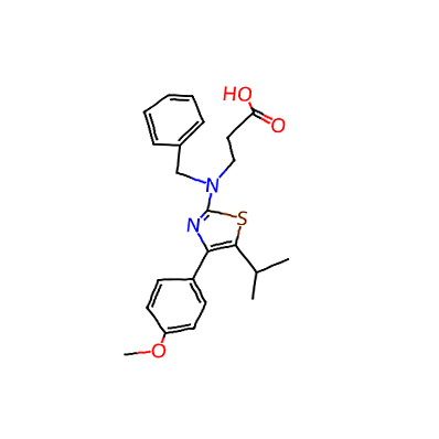 COc1ccc(-c2nc(N(CCC(=O)O)Cc3ccccc3)sc2C(C)C)cc1